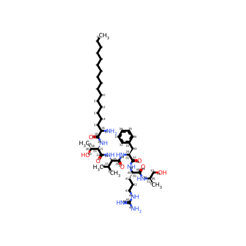 CCCCCCCCCCCCCCCCC(N)C(=O)N[C@H](C(=O)N[C@H](C(=O)N[C@@H](Cc1ccccc1)C(=O)N[C@@H](CCCNC(=N)N)C(=O)N[C@H](C)CO)C(C)C)[C@@H](C)O